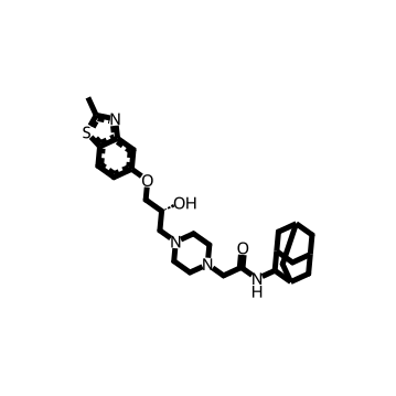 Cc1nc2cc(OC[C@H](O)CN3CCN(CC(=O)NC4C5CC6CC(C5)CC4C6)CC3)ccc2s1